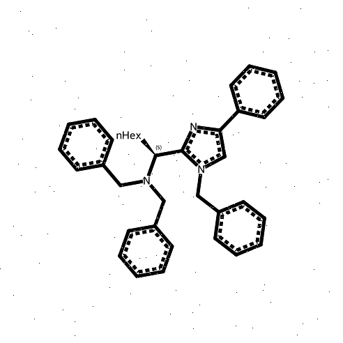 CCCCCC[C@@H](c1nc(-c2ccccc2)cn1Cc1ccccc1)N(Cc1ccccc1)Cc1ccccc1